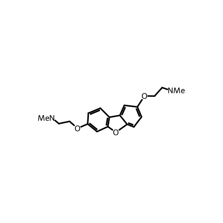 CNCCOc1ccc2c(c1)oc1ccc(OCCNC)cc12